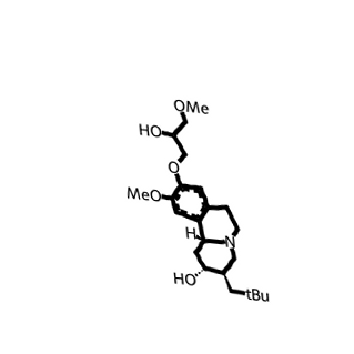 COCC(O)COc1cc2c(cc1OC)[C@H]1C[C@@H](O)[C@H](CC(C)(C)C)CN1CC2